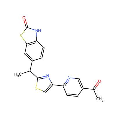 CC(=O)c1ccc(-c2csc(C(C)c3ccc4[nH]c(=O)sc4c3)n2)nc1